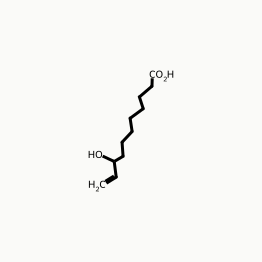 C=CC(O)CCCCCCCC(=O)O